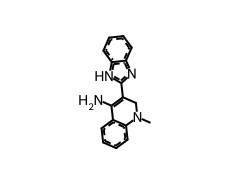 CN1CC(c2nc3ccccc3[nH]2)=C(N)c2ccccc21